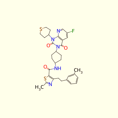 Cc1cccc(CCc2nc(C)sc2C(=O)NC2CCC(n3c(=O)c4cc(F)cnc4n(C4CCSCC4)c3=O)CC2)c1